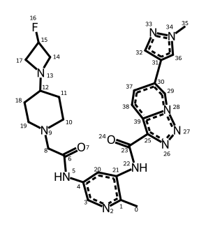 Cc1ncc(NC(=O)CN2CCC(N3CC(F)C3)CC2)cc1NC(=O)c1nnn2cc(-c3cnn(C)c3)ccc12